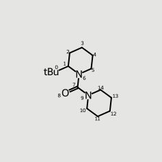 CC(C)(C)C1CCCCN1C(=O)N1CCCCC1